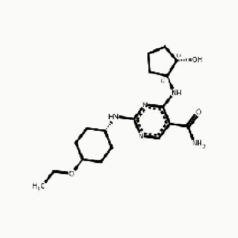 CCO[C@H]1CC[C@H](Nc2ncc(C(N)=O)c(N[C@H]3CCC[C@@H]3O)n2)CC1